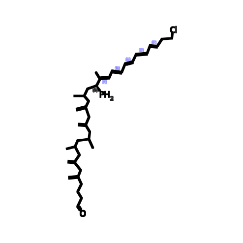 C=C(CCCC=O)CC(=C)CC(C)CC(C)CC(=C)CC(=C)CC(C)C[C@H](P)/C(C)=C/C=C/C=C/C=C/C=C/CCCl